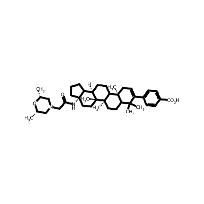 C[C@@H]1CN(CC(=O)N[C@]23CCCC2[C@H]2CCC4[C@@]5(C)CC=C(c6ccc(C(=O)O)cc6)C(C)(C)C5CC[C@@]4(C)[C@]2(C)CC3)C[C@H](C)O1